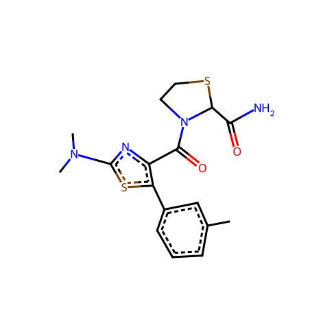 Cc1cccc(-c2sc(N(C)C)nc2C(=O)N2CCSC2C(N)=O)c1